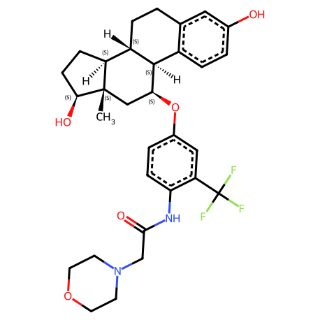 C[C@]12C[C@H](Oc3ccc(NC(=O)CN4CCOCC4)c(C(F)(F)F)c3)[C@@H]3c4ccc(O)cc4CC[C@H]3[C@@H]1CC[C@@H]2O